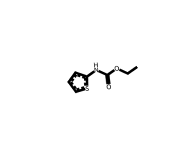 CCOC(=O)Nc1cccs1